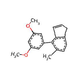 COc1cc(OC)cc(-c2c(C)ccc3c2C=CC3)c1